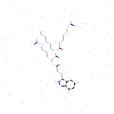 CC(C)(C)c1cc(C(C)(C)C)c2[nH]c(C(C)(C)C)c(C[C@H](N)C(=O)N[C@@H](CCCNC(=N)N)C(=O)N(CCCCC[C]=O)C(=O)[C@@H](N)CCCNC(=N)N)c2c1